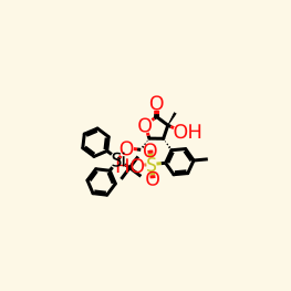 Cc1ccc(S(=O)(=O)O)c([C@@H]2[C@H](CO[Si](c3ccccc3)(c3ccccc3)C(C)(C)C)OC(=O)[C@]2(C)O)c1